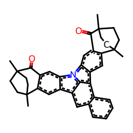 CC12CCC(C)(CC1)c1cc3c4cc5ccccc5c5c6cc7c(cc6n(c3cc1C2=O)c45)C(=O)C1(C)CCC7(C)CC1